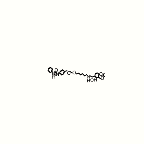 CC1(C)OCc2cc([C@H](O)CNCCCCCCOCCOCc3ccc(NC(=O)Nc4ccccc4)cc3)ccc2O1